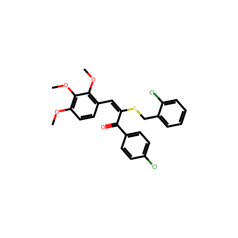 COc1ccc(/C=C(/SCc2ccccc2Cl)C(=O)c2ccc(Cl)cc2)c(OC)c1OC